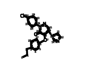 CCCc1ccc(Oc2c(-n3ccnc3)cnn(-c3ccc(Cl)cc3)c2=O)cc1